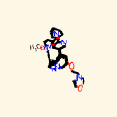 COc1ccc(CN2C3CC(c4ccc(-c5cc(OCCN6CCOCC6)cn6ncc(C#N)c56)cn4)CC2C3)cn1